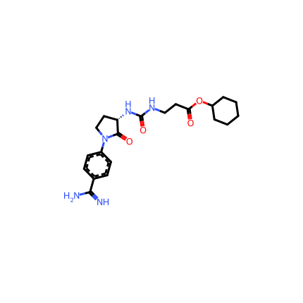 N=C(N)c1ccc(N2CC[C@H](NC(=O)NCCC(=O)OC3CCCCC3)C2=O)cc1